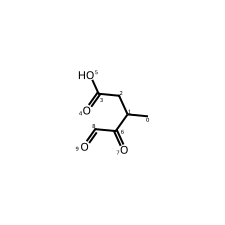 CC(CC(=O)O)C(=O)C=O